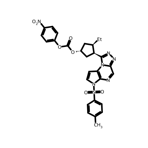 CC[C@@H]1C[C@@H](OC(=O)Oc2ccc([N+](=O)[O-])cc2)C[C@@H]1c1nnc2cnc3c(ccn3S(=O)(=O)c3ccc(C)cc3)n12